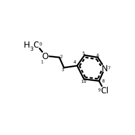 COCCc1ccnc(Cl)c1